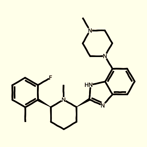 Cc1cccc(F)c1[C@@H]1CCC[C@H](c2nc3cccc(N4CCN(C)CC4)c3[nH]2)N1C